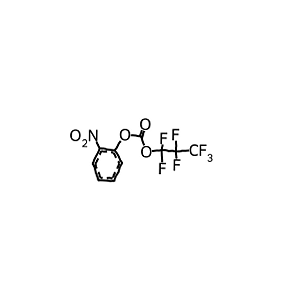 O=C(Oc1ccccc1[N+](=O)[O-])OC(F)(F)C(F)(F)C(F)(F)F